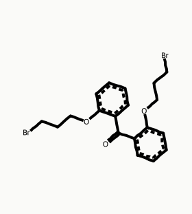 O=C(c1ccccc1OCCCBr)c1ccccc1OCCCBr